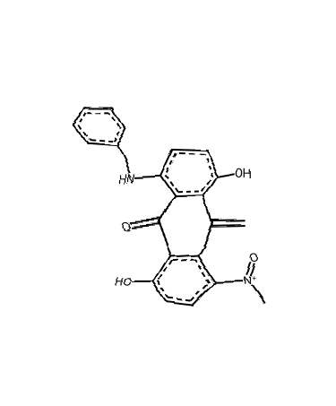 C=C1c2c(O)ccc(Nc3ccccc3)c2C(=O)c2c(O)ccc([N+](C)=O)c21